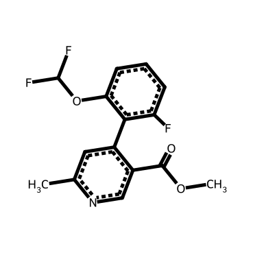 COC(=O)c1cnc(C)cc1-c1c(F)cccc1OC(F)F